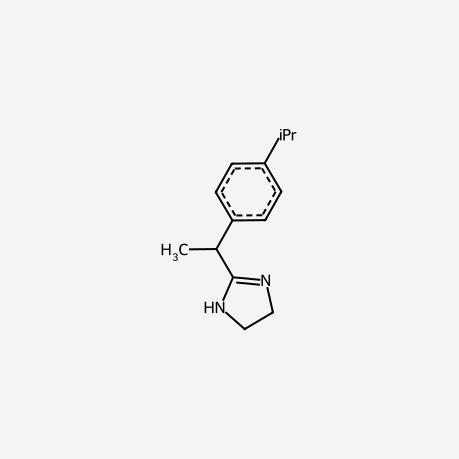 CC(C)c1ccc(C(C)C2=NCCN2)cc1